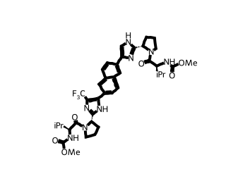 COC(=O)N[C@H](C(=O)N1CCC[C@H]1c1nc(-c2ccc3cc(-c4[nH]c([C@@H]5CCCN5C(=O)[C@@H](NC(=O)OC)C(C)C)nc4C(F)(F)F)ccc3c2)c[nH]1)C(C)C